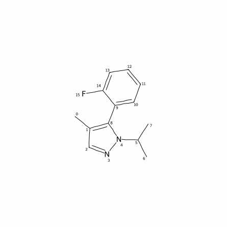 Cc1cnn(C(C)C)c1-c1ccccc1F